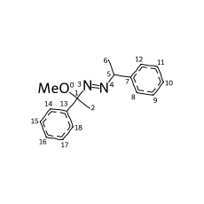 COC(C)(N=NC(C)c1ccccc1)c1ccccc1